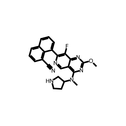 COc1nc(N(C)C2CCNC2)c2cnc(-c3cccc4cccc(C#N)c34)c(F)c2n1